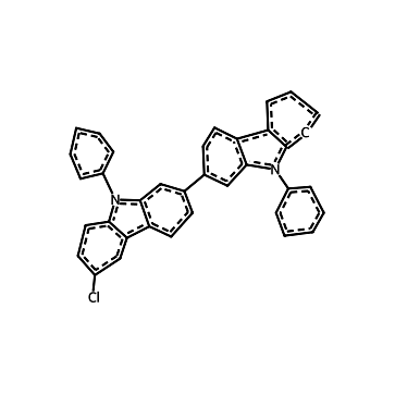 Clc1ccc2c(c1)c1ccc(-c3ccc4c5ccccc5n(-c5ccccc5)c4c3)cc1n2-c1ccccc1